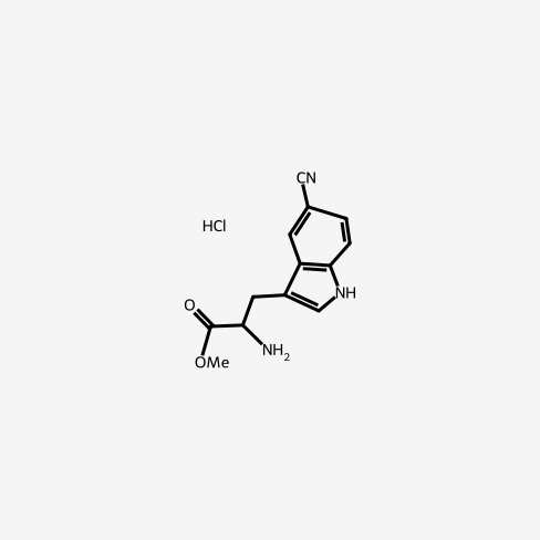 COC(=O)C(N)Cc1c[nH]c2ccc(C#N)cc12.Cl